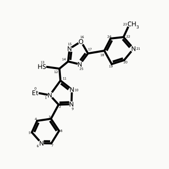 CCn1c(-c2ccncc2)nnc1C(S)c1noc(-c2ccnc(C)c2)n1